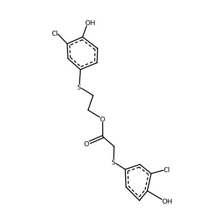 O=C(CSc1ccc(O)c(Cl)c1)OCCSc1ccc(O)c(Cl)c1